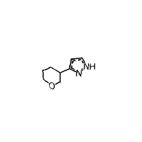 c1cc(C2CCCOC2)n[nH]1